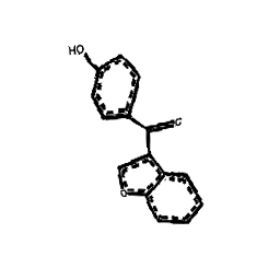 O=C(c1ccc(O)cc1)c1coc2ccccc12